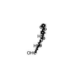 O=CCCCCCNC(=O)CCCOCC(=O)NCc1ccc(CC(=O)C2CCCCC2=O)cc1